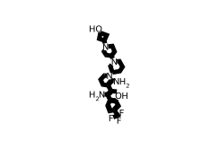 C/C(C1=C(N)N(C2CCCN(C3CCN(C4CC(O)C4)CC3)C2)CCC1)=C(/N)c1ccc(C(F)(F)F)cc1O